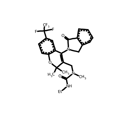 CCNC(=O)N(C)CC1=C(N2Cc3ccccc3C2=O)c2cc(C(F)(F)C(F)(F)F)ccc2OC1(C)C